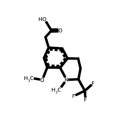 COc1cc(CC(=O)O)cc2c1N(C)C(C(F)(F)F)CC2